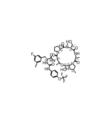 C[C@H]1C[C@H]2[C@@H](O)O[C@@H](C)[C@H](NC(=O)[C@H](Cc3cc(F)cc(F)c3)NC(=O)Nc3ccc(OC(F)(F)F)cc3)C(=O)N3CCC[C@H]3C(=O)N(C)[C@@H]([C@@H](C)O)C(=O)N[C@@H](C)C(=O)N2C1